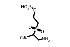 CCCCC(CN)S(=O)(=O)CCOS(=O)(=O)O